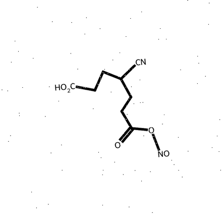 N#CC(CCC(=O)O)CCC(=O)ON=O